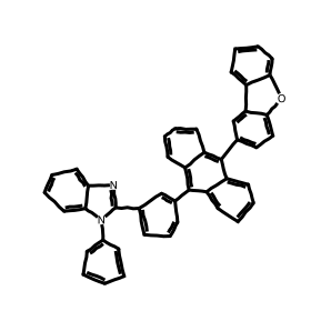 c1ccc(-n2c(-c3cccc(-c4c5ccccc5c(-c5ccc6oc7ccccc7c6c5)c5ccccc45)c3)nc3ccccc32)cc1